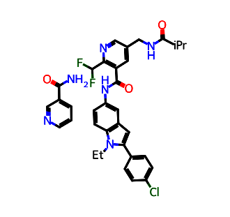 CCn1c(-c2ccc(Cl)cc2)cc2cc(NC(=O)c3cc(CNC(=O)C(C)C)cnc3C(F)F)ccc21.NC(=O)c1cccnc1